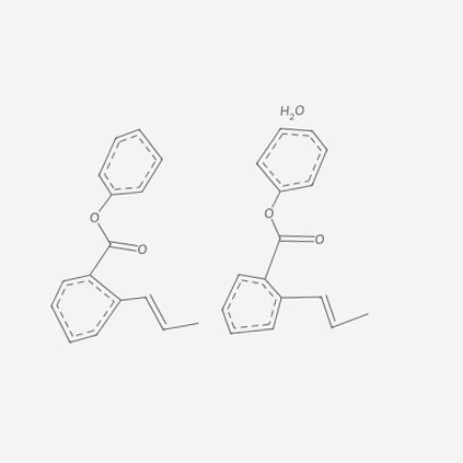 CC=Cc1ccccc1C(=O)Oc1ccccc1.CC=Cc1ccccc1C(=O)Oc1ccccc1.O